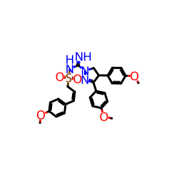 COc1ccc(C=CCS(=O)(=O)NC(=N)N2CC(c3ccc(OC)cc3)C(c3ccc(OC)cc3)=N2)cc1